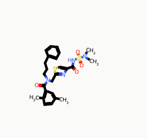 Cc1ccc(C)c(C(=O)N(CCCc2ccccc2)Cc2nc(C(=O)NS(=O)(=O)N(C)C)cs2)c1